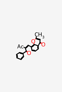 CC(=O)C(=Cc1cccc2c(=O)cc(C)oc12)C(=O)c1ccccc1